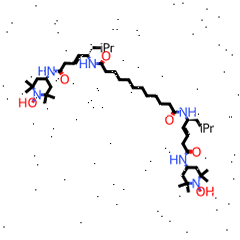 CC(C)C[C@@H](/C=C/CC(=O)NC1CC(C)(C)N(O)C(C)(C)C1)NC(=O)CCCCCCCCCCC(=O)N[C@H](/C=C/CC(=O)NC1CC(C)(C)N(O)C(C)(C)C1)CC(C)C